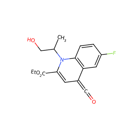 CCOC(=O)C1=CC(=C=O)c2cc(F)ccc2N1C(C)CO